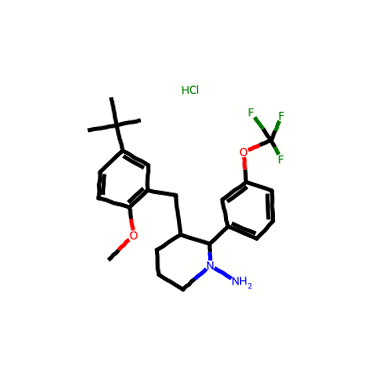 COc1ccc(C(C)(C)C)cc1CC1CCCN(N)C1c1cccc(OC(F)(F)F)c1.Cl